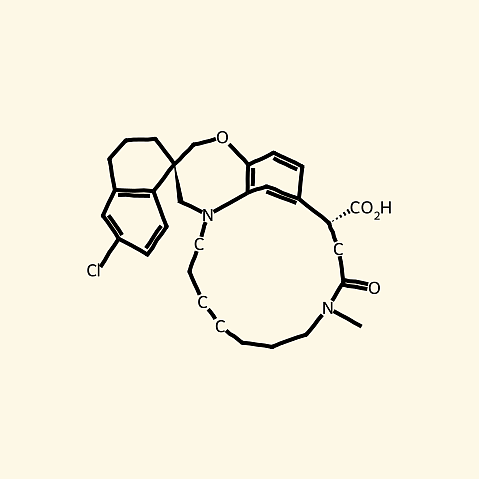 CN1CCCCCCCN2C[C@@]3(CCCc4cc(Cl)ccc43)COc3ccc(cc32)[C@H](C(=O)O)CC1=O